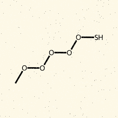 COOOOOS